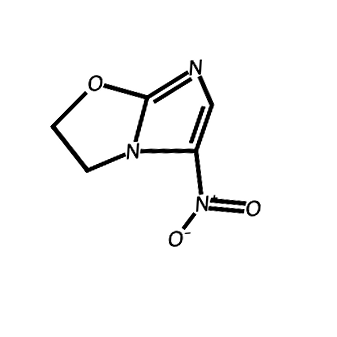 O=[N+]([O-])c1cnc2n1CCO2